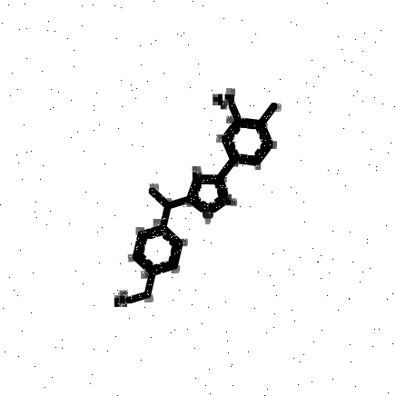 Cc1ccc(-c2noc(C(C)c3ccc(CC(C)C)cc3)n2)cc1N